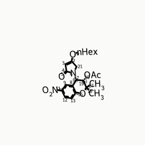 CCCCCCOC1=CC(=O)N([C@@H]2c3cc([N+](=O)[O-])ccc3OC(C)(C)[C@H]2OC(C)=O)C1